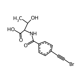 CC(O)C(NC(=O)c1ccc(C#CBr)cc1)C(=O)O